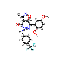 COc1ccc(OC)c(-c2nn(Cc3ccc(C(F)(F)F)cc3)c(=O)c3c(C)noc23)c1